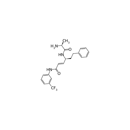 C[C@H](N)C(=O)N[C@H](C=CC(=O)Nc1cccc(C(F)(F)F)c1)CCc1ccccc1